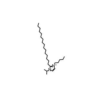 CCCCCCCCCCCCCCCCc1n(C(C)C)cc[n+]1CCCCC